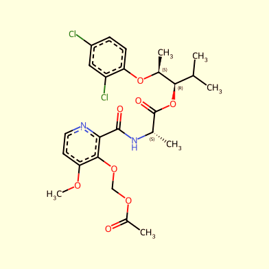 COc1ccnc(C(=O)N[C@@H](C)C(=O)O[C@H](C(C)C)[C@H](C)Oc2ccc(Cl)cc2Cl)c1OCOC(C)=O